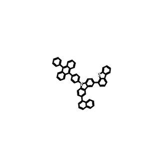 c1ccc(-c2c3ccccc3c(-c3ccc(-n4c5ccc(-c6cccc7ccccc67)cc5c5cc(-c6cccc7c6sc6ccccc67)ccc54)cc3)c3ccccc23)cc1